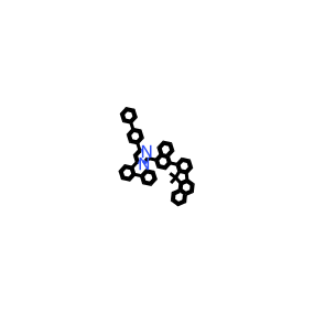 CC1(C)c2c(cccc2-c2ccc(-c3nc(-c4ccc(-c5ccccc5)cc4)cc(-c4ccccc4-c4ccccc4)n3)c3ccccc23)-c2ccc3ccccc3c21